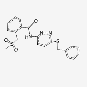 CS(=O)(=O)Cc1ccccc1C(=O)Nc1ccc(SCc2ccccc2)nn1